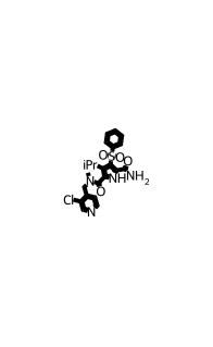 CC(C)c1c(C(=O)N(C)Cc2ccncc2Cl)[nH]c(C(N)=O)c1S(=O)(=O)c1ccccc1